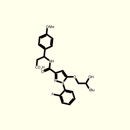 COc1ccc(C(CC(=O)O)NC(=O)c2cc(OCC(O)C(C)(C)C)n(-c3ccccc3F)n2)cc1